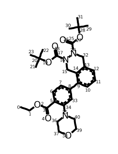 CCOC(=O)c1ccc(-c2cccc3c2CN(C(=O)OC(C)(C)C)N(C(=O)OC(C)(C)C)C3)cc1N1CCOCC1